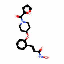 O=C(/C=C/c1ccccc1OC1CCN(C(=O)c2ccco2)CC1)NO